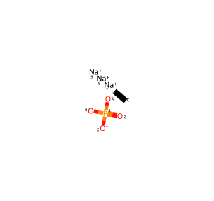 C=C.O=P([O-])([O-])[O-].[Na+].[Na+].[Na+]